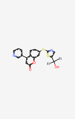 CCC(O)(CC)c1cnc(Sc2ccc3c(-c4cccnc4)cc(=O)oc3c2)s1